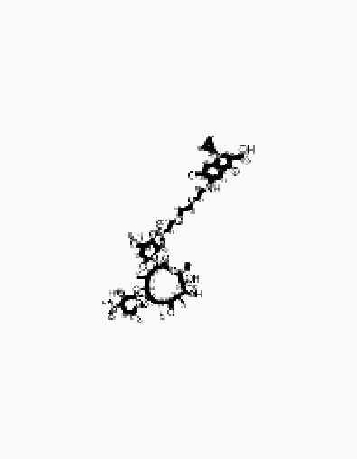 CC[C@H]1OC(=O)[C@H](C)[C@@H](O[C@H]2C[C@@](C)(OC)[C@@H](OS(=O)(=O)CCOCCOCCNc3cc4c(=O)c(C(=O)O)cn(C5CC5)c4cc3Cl)[C@H](C)O2)[C@H](C)[C@@H](O[C@@H]2O[C@H](C)C[C@H](N(C)C)[C@H]2O)[C@](C)(OC)C[C@@H](C)C(=O)[C@H](C)[C@@H](O)[C@]1(C)O